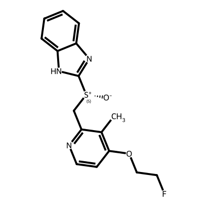 Cc1c(OCCF)ccnc1C[S@@+]([O-])c1nc2ccccc2[nH]1